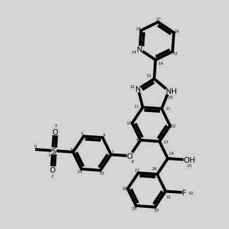 CS(=O)(=O)c1ccc(Oc2cc3nc(-c4ccccn4)[nH]c3cc2C(O)c2ccccc2F)cc1